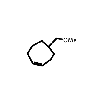 COCC1CC/C=C\CCC1